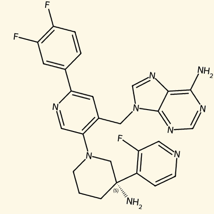 Nc1ncnc2c1ncn2Cc1cc(-c2ccc(F)c(F)c2)ncc1N1CCC[C@](N)(c2ccncc2F)C1